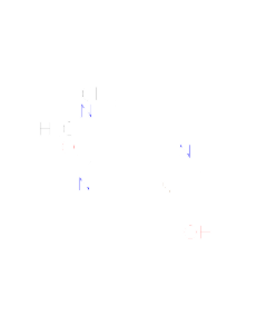 CN(C)c1ccc(-c2nc3c(s2)C(O)CCC3)cc1C(=O)N1CCCC1